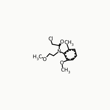 COCCN(C(=O)CCl)c1c(C)cccc1OC